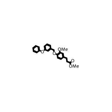 COC(=O)CCc1ccc(OCc2cccc(Oc3ccccc3)c2)c(OC)c1